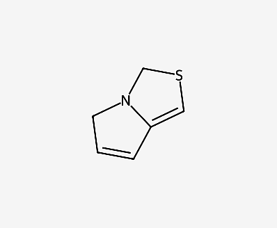 C1=CC2=CSCN2C1